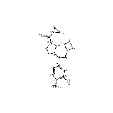 Nc1ccc(N(CC2CCC2)C2CCN(C(=O)C3CC3)C2)cc1Cl